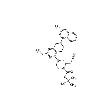 CSc1nc2c(c(N3CCN(C(=O)OC(C)(C)C)C(CC#N)C3)n1)CCN(c1cc(C)cc3ccccc13)C2